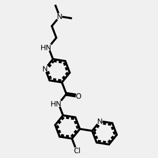 CN(C)CCNc1ccc(C(=O)Nc2ccc(Cl)c(-c3ccccn3)c2)cn1